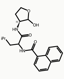 CC(C)CC(NC(=O)c1cccc2ccccc12)C(=O)N[C@H]1CCOC1O